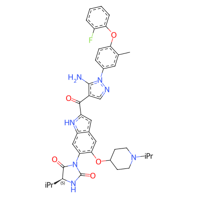 Cc1cc(-n2ncc(C(=O)c3cc4cc(OC5CCN(C(C)C)CC5)c(N5C(=O)N[C@@H](C(C)C)C5=O)cc4[nH]3)c2N)ccc1Oc1ccccc1F